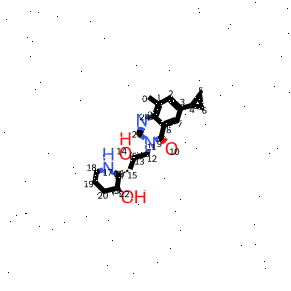 Cc1cc(C2CC2)cc2c(=O)n(C[C@@H](O)C[C@H]3NCCC[C@@H]3O)cnc12